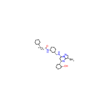 Bc1cnn2c(NCc3cccc(NC(=O)[C@@H]4C[C@H]4c4ccccc4)c3)cc(-c3ccccc3O)nc12